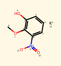 COc1c(O)cccc1[N+](=O)[O-].[K+]